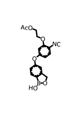 [C-]#[N+]c1ccc(Oc2ccc3c(c2)COB3O)cc1OCCOC(C)=O